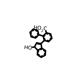 O=C(O)c1cccc(C2=CC(O)c3ccccc32)c1-c1ccccc1